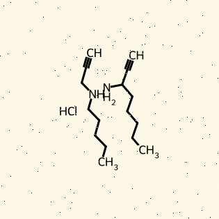 C#CC(N)CCCCC.C#CCNCCCCC.Cl